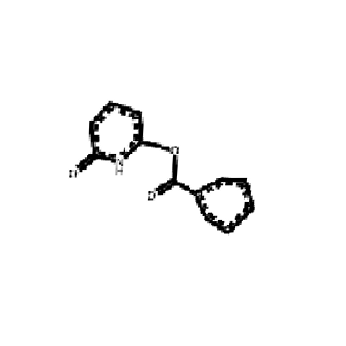 O=C(Oc1cccc(=O)[nH]1)c1ccccc1